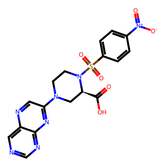 O=C(O)[C@H]1CN(c2cnc3cncnc3n2)CCN1S(=O)(=O)c1ccc([N+](=O)[O-])cc1